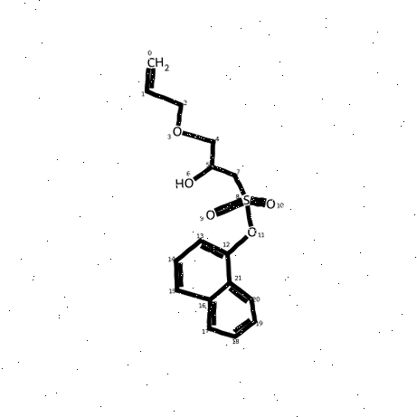 C=CCOCC(O)CS(=O)(=O)Oc1cccc2ccccc12